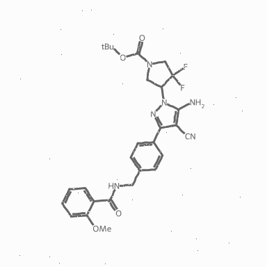 COc1ccccc1C(=O)NCc1ccc(-c2nn(C3CN(C(=O)OC(C)(C)C)CC3(F)F)c(N)c2C#N)cc1